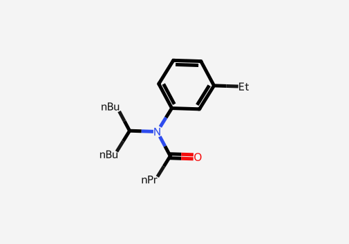 CCCCC(CCCC)N(C(=O)CCC)c1cccc(CC)c1